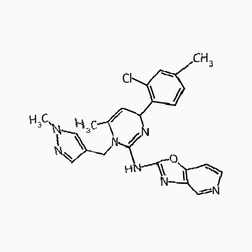 CC1=CC(c2ccc(C)cc2Cl)N=C(Nc2nc3cnccc3o2)N1Cc1cnn(C)c1